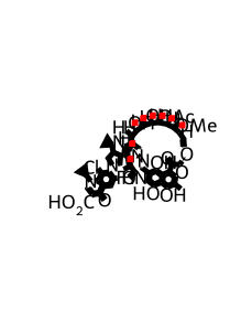 CO[C@H]1/C=C/O[C@@]2(C)Oc3c(C)c(O)c4c(O)c(c(/C=N/N5CCC(NC6(C7CCN(c8c(F)cc9c(=O)c(C(=O)O)cn(C%10CC%10)c9c8Cl)C7)CC6)CC5)c(O)c4c3C2=O)NC(=O)/C(C)=C\C=C\[C@H](C)[C@H](O)[C@@H](C)[C@@H](O)[C@@H](C)[C@H](OC(C)=O)[C@@H]1C